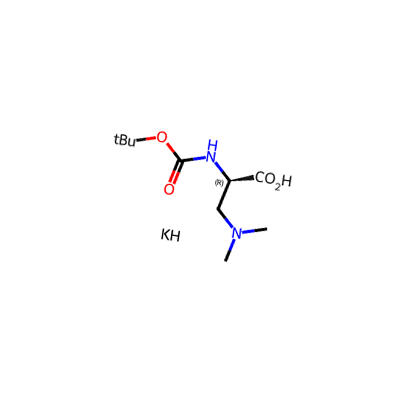 CN(C)C[C@@H](NC(=O)OC(C)(C)C)C(=O)O.[KH]